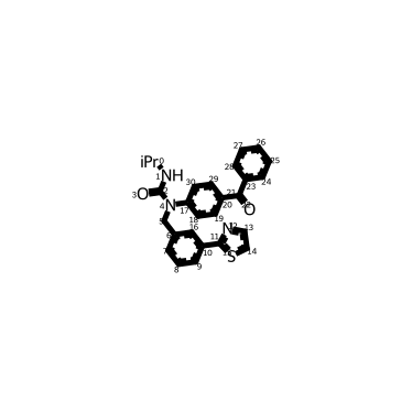 CC(C)NC(=O)N(Cc1cccc(-c2nccs2)c1)c1ccc(C(=O)c2ccccc2)cc1